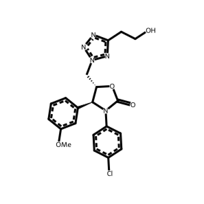 COc1cccc([C@H]2[C@H](Cn3nnc(CCO)n3)OC(=O)N2c2ccc(Cl)cc2)c1